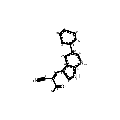 CC(=O)C(C#N)=Cc1c[nH]c2ncc(-c3ccccc3)cc12